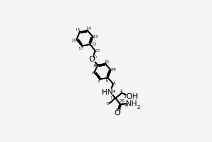 CC(CO)(NCc1ccc(OCc2ccccc2)cc1)C(N)=O